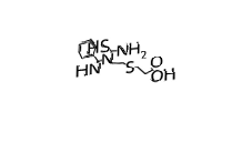 N=C(c1ccccc1)N(CCSCCC(=O)O)C(N)S